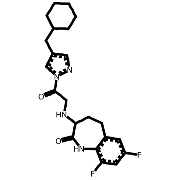 O=C1Nc2c(F)cc(F)cc2CCC1NCC(=O)n1cc(CC2CCCCC2)cn1